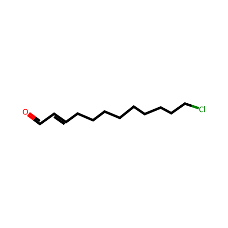 O=CC=CCCCCCCCCCCl